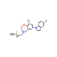 CS1(N=O)C=C1CN1CCOc2c(Cl)cc(-n3ccc4cc(F)ccc43)cc2C1